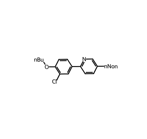 CCCCCCCCCc1ccc(-c2ccc(OCCCC)c(Cl)c2)nc1